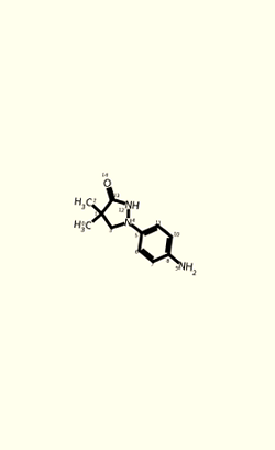 CC1(C)CN(c2ccc(N)cc2)NC1=O